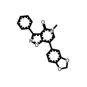 Cn1cc(-c2ccc3c(c2)OCO3)c2onc(-c3ccccc3)c2c1=O